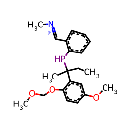 CCC(C)(Pc1ccccc1/C=N/C)c1cc(OC)ccc1OCOC